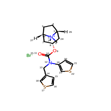 C[N+]1(C)[C@@H]2CC[C@H]1C[C@@H](OC(=O)N(Cc1ccsc1)c1ccsc1)C2.[Br-]